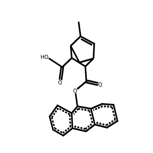 CC1=CC2CC1C(C(=O)O)C2C(=O)Oc1c2ccccc2cc2ccccc12